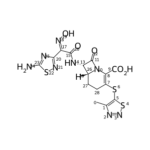 Cc1nnsc1SC1=C(C(=O)O)N2C(=O)[C@@H](NC(=O)/C(=N\O)c3nsc(N)n3)[C@H]2CC1